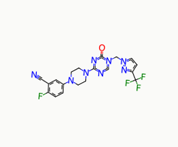 N#Cc1cc(N2CCN(c3ncn(Cn4ccc(C(F)(F)F)n4)c(=O)n3)CC2)ccc1F